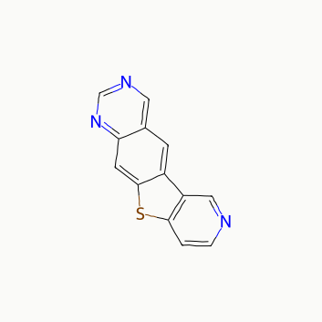 c1cc2sc3cc4ncncc4cc3c2cn1